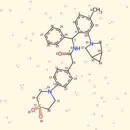 Cc1ccc(C(NC(=O)Cc2ccc(N3CCS(=O)(=O)CC3)cc2)c2ccccc2)c(N2CC3CC3C2)c1